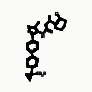 Cc1noc(-c2ccc(-c3ccc(C4(C(=O)O)CC4)cc3)cc2)c1NC(=O)OC(C)C1=C(Cl)CCCC1